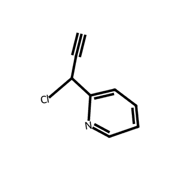 C#CC(Cl)c1ccccn1